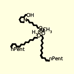 CCCCC/C=C\C/C=C\CCCCCCCCOC(CCCCCCC/C=C\C/C=C\CCCCC)O[Si](C)(C)OCCCCCCN1CCCCC1CO